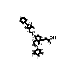 Cc1oc(-c2ccccc2)nc1CCOc1ccc(CCC(=O)O)c2c1CCN(c1cc(F)c(F)c(F)c1)C2